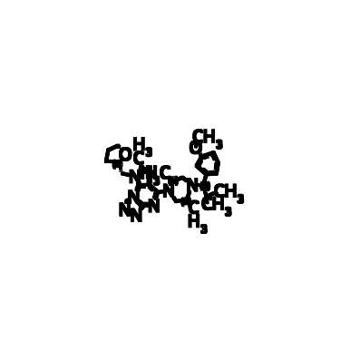 COc1cccc([C@@H](C(C)C)N2C[C@H](C)N(c3nc4nncn4c4c3nc(C)n4C[C@@H]3CCCO3)C[C@H]2C)c1